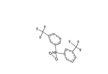 FC(F)(F)c1cccc([PH]2(c3cccc(C(F)(F)F)c3)OO2)c1